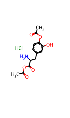 CC(=O)OC(=O)[C@@H](N)Cc1ccc(OC(C)=O)c(O)c1.Cl